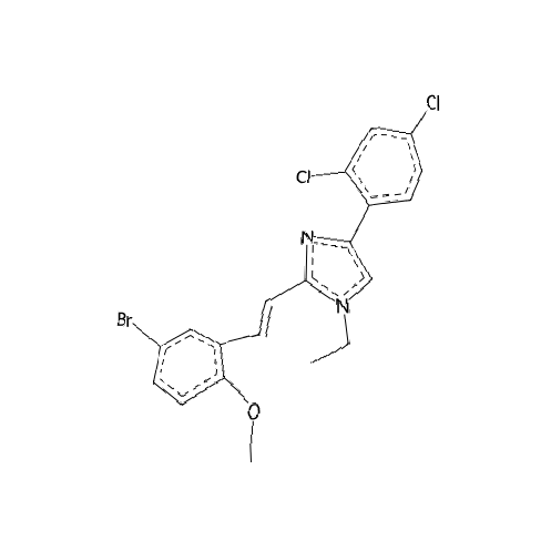 CCn1cc(-c2ccc(Cl)cc2Cl)nc1/C=C/c1cc(Br)ccc1OC